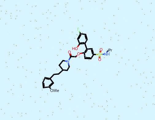 COc1cccc(CCC2CCN(C(=O)COc3ccc(S(=O)(=O)NC(C)C)cc3-c3ccc(F)cc3O)CC2)c1